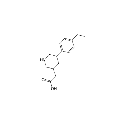 CCc1ccc(C2CNCC(CC(=O)O)C2)cc1